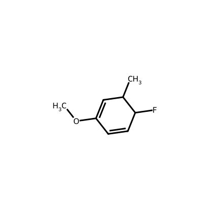 COC1=CC(C)C(F)C=C1